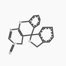 O=[N+]1C=NC2=C(C1)C1(OCc3ccccc31)c1ccccc1O2